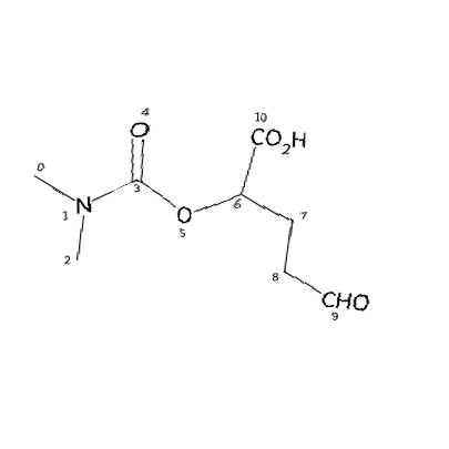 CN(C)C(=O)OC(CCC=O)C(=O)O